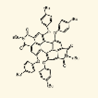 CCCCN1C(=O)c2cc(Oc3ccc(C(C)(C)C)cc3)c3c4c(Oc5ccc(C(C)(C)C)cc5)cc5c6c(cc(Oc7ccc(C(C)(C)C)cc7)c(c7c(Oc8ccc(C(C)(C)C)cc8)cc(c2c37)C1=O)c64)C(=O)N(CCCC)C5=O